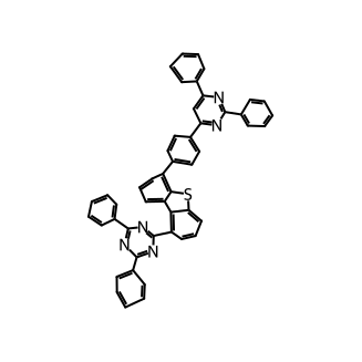 c1ccc(-c2cc(-c3ccc(-c4cccc5c4sc4cccc(-c6nc(-c7ccccc7)nc(-c7ccccc7)n6)c45)cc3)nc(-c3ccccc3)n2)cc1